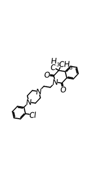 CC1(C)C(=O)N(CCN2CCN(c3ccccc3Cl)CC2)C(=O)c2ccccc21